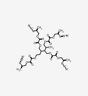 C=C(COC(=O)C(=O)OCCC(COC(=O)C(=O)OCC(=C)N=[N+]=[N-])C(COC(=O)C(=O)OCC(=C)N=[N+]=[N-])C(C)COC(=O)C(=O)OCC(=C)N=[N+]=[N-])N=[N+]=[N-]